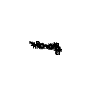 CSCCC(=O)N[C@H]1CC[C@H](CCN2CCN(c3noc4cc(F)c(Cl)cc34)CC2)CC1